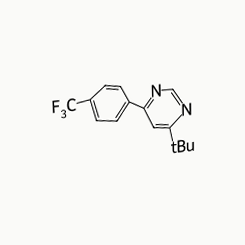 CC(C)(C)c1cc(-c2ccc(C(F)(F)F)cc2)ncn1